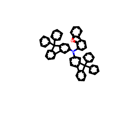 c1ccc(C2(c3ccccc3)c3ccccc3-c3cc(N(c4ccc5c(c4)C(c4ccccc4)(c4ccccc4)c4ccccc4-5)c4cccc5c4oc4ccccc45)ccc32)cc1